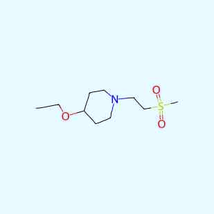 CCOC1CCN(CCS(C)(=O)=O)CC1